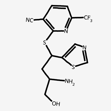 N#Cc1ccc(C(F)(F)F)nc1SC(CC(N)CO)c1cncs1